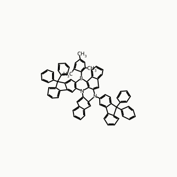 Cc1cc(C)c(B2c3cc4c(cc3N3c5cc6ccccc6cc5N(c5ccc6c(c5)-c5ccccc5C6(c5ccccc5)c5ccccc5)c5cc6ccccc6c2c53)-c2ccccc2C4(c2ccccc2)c2ccccc2)c(C)c1